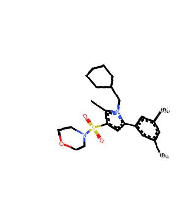 Cc1c(S(=O)(=O)N2CCOCC2)cc(-c2cc(C(C)(C)C)cc(C(C)(C)C)c2)n1CC1CCCCC1